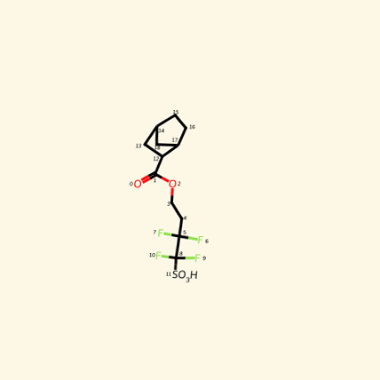 O=C(OCCC(F)(F)C(F)(F)S(=O)(=O)O)C1CC2CCC1C2